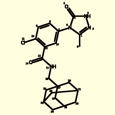 Cc1n[nH]c(=O)n1-c1ccc(Cl)c(C(=O)NCC23CC4CC(CC(C4)C2)C3)c1